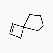 C1=CC2(C1)CCCC2